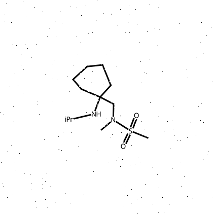 CC(C)NC1(CN(C)S(C)(=O)=O)CCCCC1